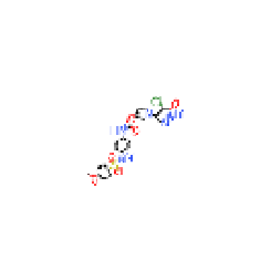 COc1ccc(S(=O)(=O)NC2CCC(NC(=O)O[C@@H]3CCN(c4cn[nH]c(=O)c4Cl)C3)CC2)cc1